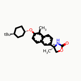 Cc1c(O[C@H]2CC[C@H](C(C)(C)C)CC2)ccc2cc([C@]3(C)COC(=O)N3)ccc12